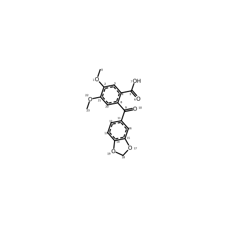 COc1cc(C(=O)O)c(C(=O)c2ccc3c(c2)OCO3)cc1OC